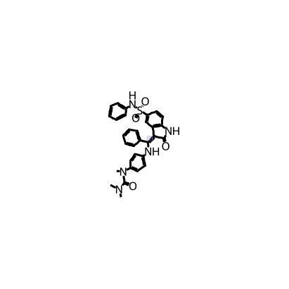 CN(C)C(=O)N(C)c1ccc(N/C(=C2\C(=O)Nc3ccc(S(=O)(=O)Nc4ccccc4)cc32)c2ccccc2)cc1